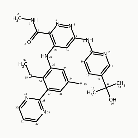 CNC(=O)c1nnc(Nc2ccc(C(C)(C)O)cn2)cc1Nc1cc(F)cc(-c2ncccn2)c1OC